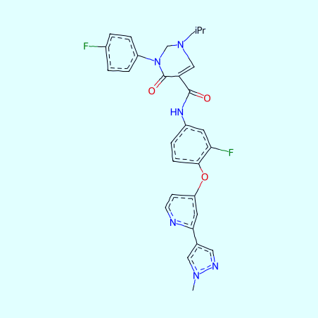 CC(C)N1C=C(C(=O)Nc2ccc(Oc3ccnc(-c4cnn(C)c4)c3)c(F)c2)C(=O)N(c2ccc(F)cc2)C1